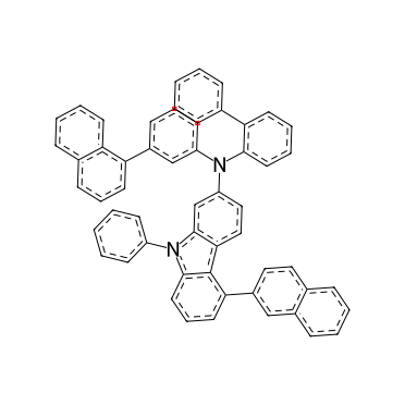 c1ccc(-c2ccccc2N(c2cccc(-c3cccc4ccccc34)c2)c2ccc3c4c(-c5ccc6ccccc6c5)cccc4n(-c4ccccc4)c3c2)cc1